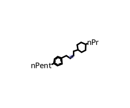 CCCCCc1ccc(C/C=C\CC2CCC(CCC)CC2)cc1